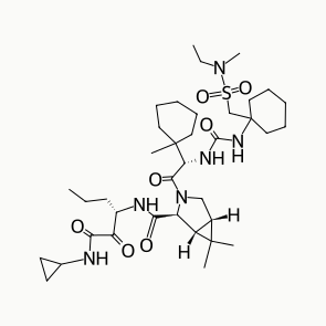 CCC[C@H](NC(=O)[C@@H]1[C@@H]2[C@H](CN1C(=O)[C@@H](NC(=O)NC1(CS(=O)(=O)N(C)CC)CCCCC1)C1(C)CCCCC1)C2(C)C)C(=O)C(=O)NC1CC1